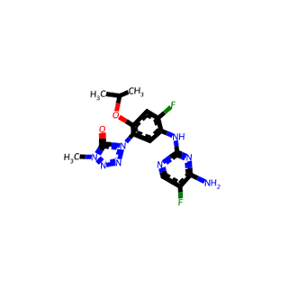 CC(C)Oc1cc(F)c(Nc2ncc(F)c(N)n2)cc1-n1nnn(C)c1=O